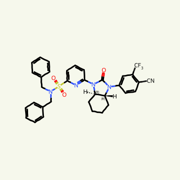 N#Cc1ccc(N2C(=O)N(c3cccc(S(=O)(=O)N(Cc4ccccc4)Cc4ccccc4)n3)[C@@H]3CCCC[C@H]32)cc1C(F)(F)F